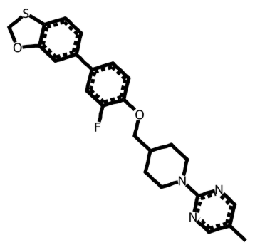 Cc1cnc(N2CCC(COc3ccc(-c4ccc5c(c4)OCS5)cc3F)CC2)nc1